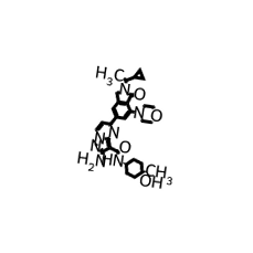 CC(C1CC1)N1Cc2cc(-c3ccn4nc(N)c(C(=O)N[C@H]5CC[C@@](C)(O)CC5)c4n3)cc(N3CCOCC3)c2C1=O